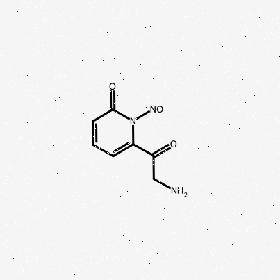 NCC(=O)c1cccc(=O)n1N=O